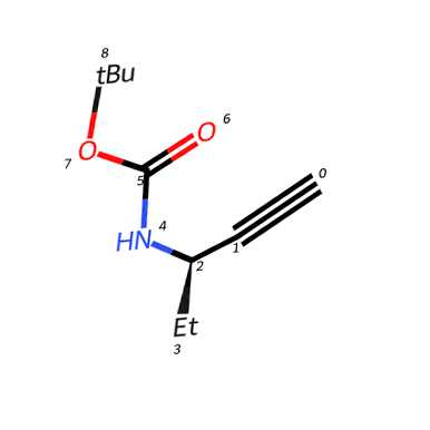 C#C[C@@H](CC)NC(=O)OC(C)(C)C